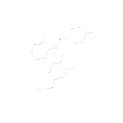 CCN1CCN(C(=O)N(Cc2ccc(C(=O)OC)cc2F)c2cccc(Cl)c2F)CC1